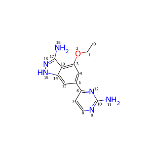 CCOc1cc(-c2ccnc(N)n2)cc2[nH]nc(N)c12